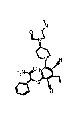 CCc1c(C#N)c(SC(C(N)=O)c2ccccc2)nc(N2CCC(N(C=O)CCNC)CC2)c1C#N